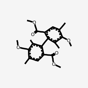 COC(=O)c1cc(C)c(OC)c(C)c1-c1c(C(=O)OC)cc(C)c(OC)c1C